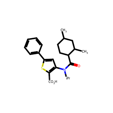 CC1CCC(C(=O)N(c2cc(-c3ccccc3)sc2C(=O)O)C(C)C)C(C)C1